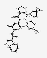 O=C(Nc1cc(F)c(CC(=O)N2CCC[C@H]2C(O[C@H]2CC[C@H](C(=O)O)CC2)N2CCC3(CC3)C2)cc1Cl)c1csc2ccccc12